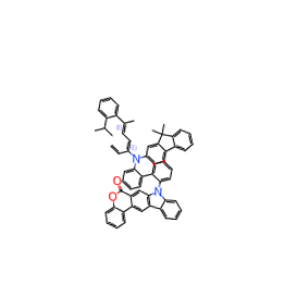 C=C/C(=C\C=C(/C)c1ccccc1C(C)C)N(c1ccc2c(c1)C(C)(C)c1ccccc1-2)c1ccccc1-c1ccccc1-n1c2ccccc2c2cc3c(cc21)c(=O)oc1ccccc13